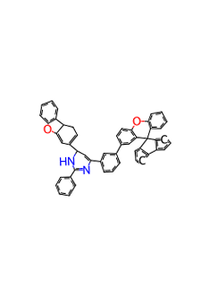 C1=C(c2cccc(-c3ccc4c(c3)C3(c5ccccc5O4)c4ccccc4-c4ccccc43)c2)N=C(c2ccccc2)NC1C1=CCC2C(=C1)Oc1ccccc12